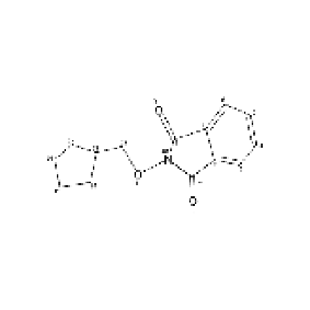 O=C1c2ccccc2C(=O)N1OCC1CCCC1